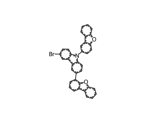 Brc1ccc2c(c1)c1cc(-c3cccc4c3oc3ccccc34)ccc1n2-c1ccc2oc3ccccc3c2c1